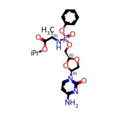 CC(C)OC(=O)[C@H](C)N[P@@](=O)(OC[C@H]1OC[C@@H](n2ccc(N)nc2=O)O1)Oc1ccccc1